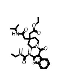 CCNC(=O)Nc1sc2ccccc2c1C(=O)N1CCC(CC(=O)NC(C)C)(CC(=O)OCC)CC1